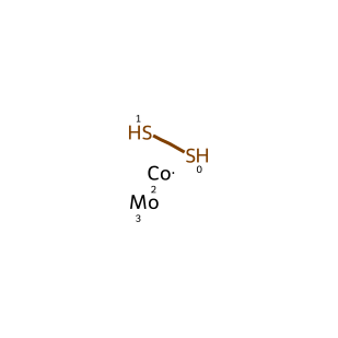 SS.[Co].[Mo]